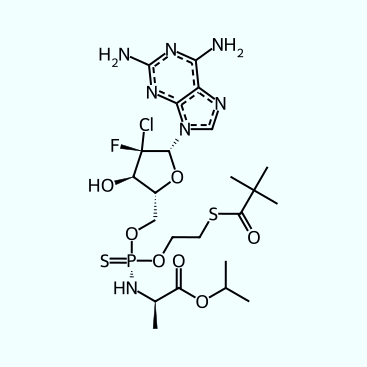 CC(C)OC(=O)[C@@H](C)N[P@@](=S)(OCCSC(=O)C(C)(C)C)OC[C@H]1O[C@@H](n2cnc3c(N)nc(N)nc32)[C@@](F)(Cl)[C@@H]1O